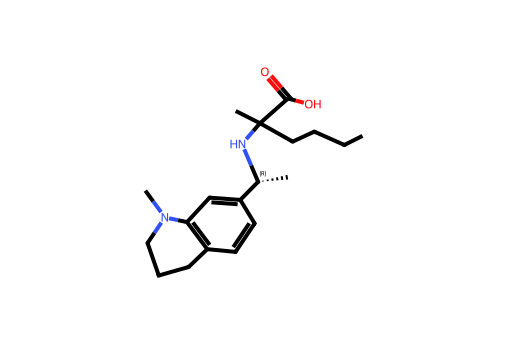 CCCCC(C)(N[C@H](C)c1ccc2c(c1)N(C)CCC2)C(=O)O